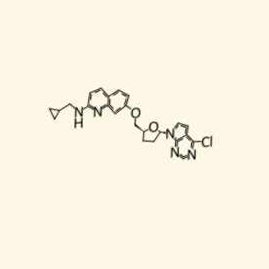 Clc1ncnc2c1ccn2[C@H]1CC[C@@H](COc2ccc3ccc(NCC4CC4)nc3c2)O1